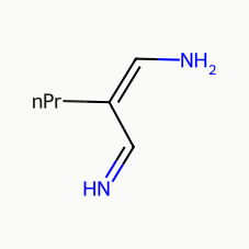 CCC/C(C=N)=C/N